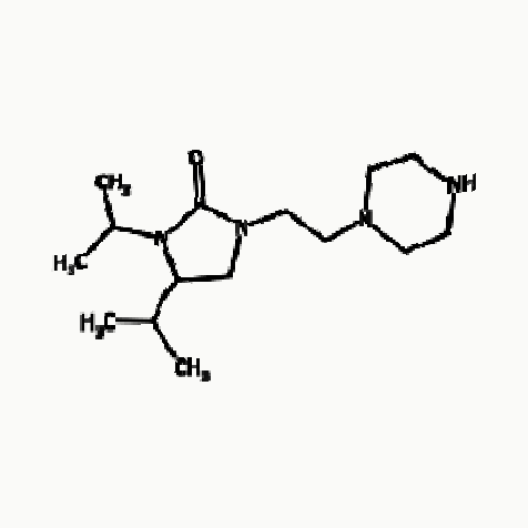 CC(C)C1CN(CCN2CCNCC2)C(=O)N1C(C)C